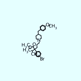 COC(=O)C(CCCN1CCC(Cc2ccc(OC)cc2)CC1)(c1ccc(Br)cc1)C(C)C